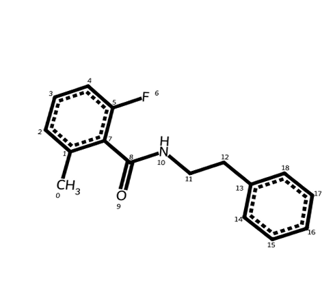 Cc1cccc(F)c1C(=O)NCCc1ccccc1